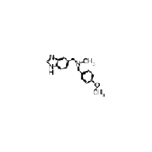 COc1ccc(CN(C)Cc2ccc3[nH]cnc3c2)cc1